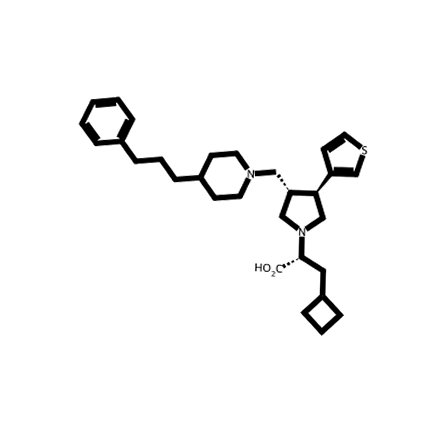 O=C(O)[C@@H](CC1CCC1)N1C[C@H](CN2CCC(CCCc3ccccc3)CC2)[C@@H](c2ccsc2)C1